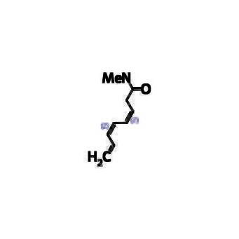 C=C/C=C\C=C/CC(=O)NC